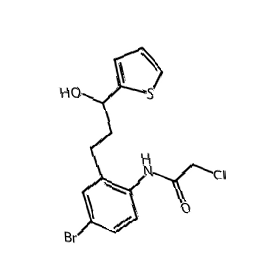 O=C(CCl)Nc1ccc(Br)cc1CCC(O)c1cccs1